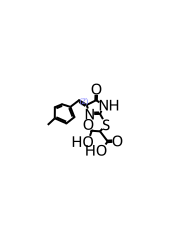 Cc1ccc(/C=C2\N=C(SC(C(=O)O)C(=O)O)NC2=O)cc1